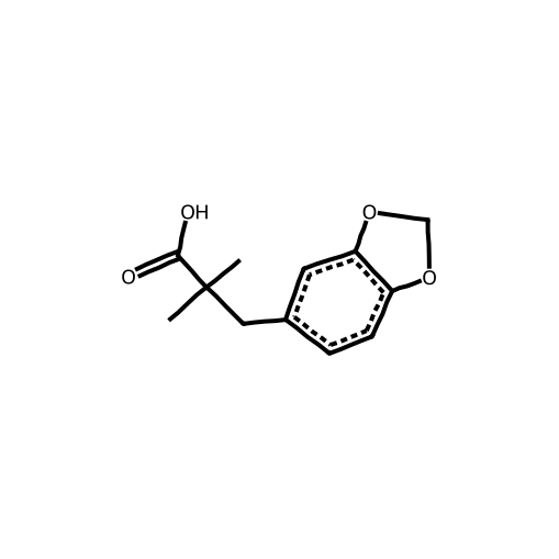 CC(C)(Cc1ccc2c(c1)OCO2)C(=O)O